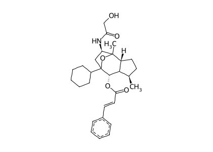 C[C@@H]1CC[C@@H]2C1[C@H](OC(=O)/C=C/c1ccccc1)C1(C3CCCCC3)C[C@@H](NC(=O)CO)C2(C)O1